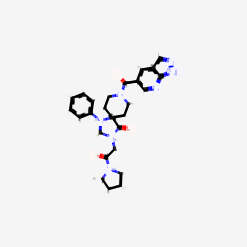 O=C(c1cnc2[nH]ncc2c1)N1CCC2(CC1)C(=O)N(CC(=O)N1CCC[C@@H]1C(F)(F)F)CN2c1ccccc1